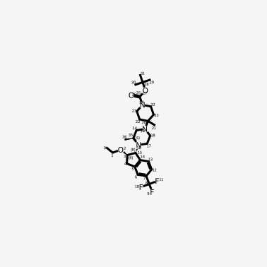 CCO[C@@H]1Cc2cc(C(F)(F)F)ccc2[C@H]1N1CCN(C2(C)CCN(C(=O)OC(C)(C)C)CC2)C[C@@H]1C